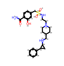 NC(=O)c1ccc(CS(=O)(=O)NCCN2CCC(CNC3CC3c3ccccc3)CC2)cc1O